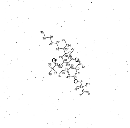 C=C(C)C(F)(F)COc1cc(CC)c(/C(C(C)=O)=C(/CC(CC)C(CC)CCCCCC)OC(=O)C(C)(C)C)c(CC)c1